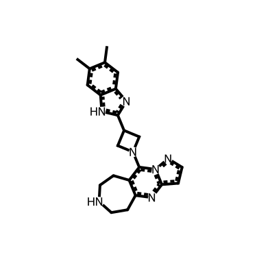 Cc1cc2nc(C3CN(c4c5c(nc6ccnn46)CCNCC5)C3)[nH]c2cc1C